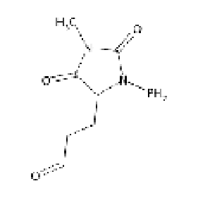 CN1C(=O)C(CCC=O)N(P)C1=O